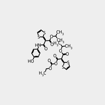 CC(C)OC(=O)C(C(=O)Nc1ccc(O)cc1)=C1SC=CS1.CCOC(=O)OC(=O)C(C(=O)OC(C)C)=C1SC=CS1